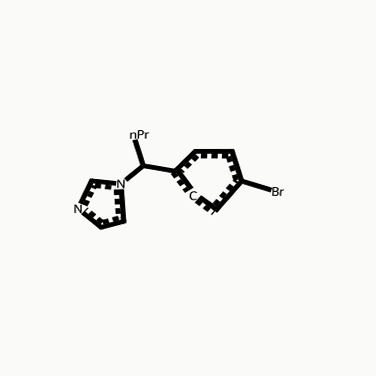 CCCC(c1ccc(Br)cc1)n1ccnc1